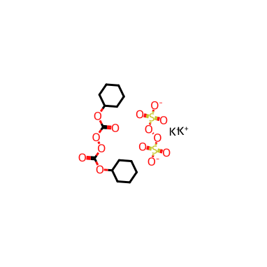 O=C(OOC(=O)OC1CCCCC1)OC1CCCCC1.O=S(=O)([O-])OOS(=O)(=O)[O-].[K+].[K+]